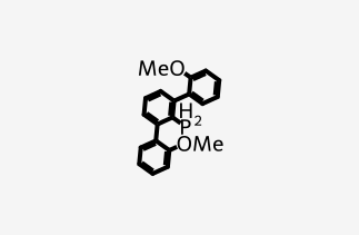 COc1ccccc1-c1cccc(-c2ccccc2OC)c1P